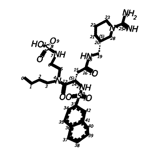 CCCCN(CCNS(=O)(=O)O)C(=O)[C@H](CC(=O)NC[C@@H]1CCCN(C(=N)N)C1)NS(=O)(=O)c1ccc2ccccc2c1